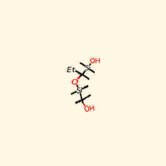 CCC(C)(O[Si](C)(C)C(C)(C)O)[Si](C)(C)O